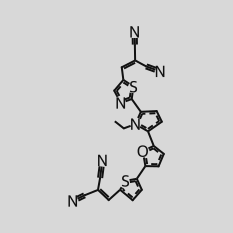 CCn1c(-c2ccc(-c3ccc(C=C(C#N)C#N)s3)o2)ccc1-c1ncc(C=C(C#N)C#N)s1